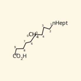 C.CCCCCCCCCCCCCCCC(=O)O